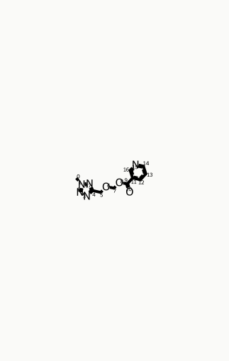 Cn1nnc(COCOC(=O)c2cccnc2)n1